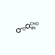 CC(C)c1cc(OCc2ccccc2)ccc1C=O